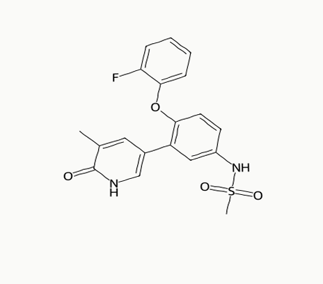 Cc1cc(-c2cc(NS(C)(=O)=O)ccc2Oc2ccccc2F)c[nH]c1=O